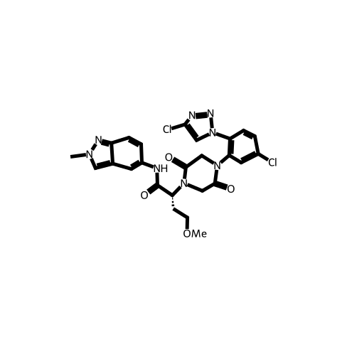 COCC[C@H](C(=O)Nc1ccc2nn(C)cc2c1)N1CC(=O)N(c2cc(Cl)ccc2-n2cc(Cl)nn2)CC1=O